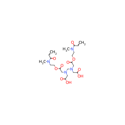 C=CC(=O)N(C)CCOC(=O)CN(CC(=O)O)CN(CC(=O)O)CC(=O)OCCN(C)C(=O)C=C